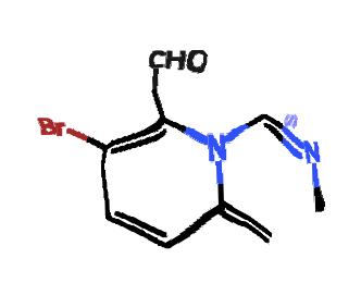 C=C1C=CC(Br)=C(C=O)N1/C=N\C